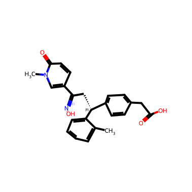 Cc1ccccc1[C@H](C/C(=N\O)c1ccc(=O)n(C)c1)c1ccc(CC(=O)O)cc1